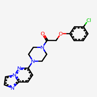 O=C(COc1cccc(Cl)c1)N1CCN(c2ccc3nccn3n2)CC1